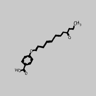 CCCC(=O)CCCCCCCCOc1ccc(C(=O)O)cc1